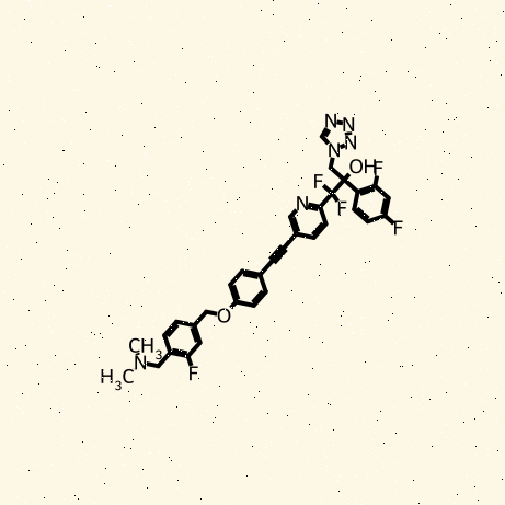 CN(C)Cc1ccc(COc2ccc(C#Cc3ccc(C(F)(F)C(O)(Cn4cnnn4)c4ccc(F)cc4F)nc3)cc2)cc1F